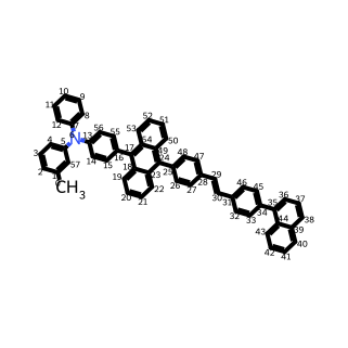 Cc1cccc(N(c2ccccc2)c2ccc(-c3c4ccccc4c(-c4ccc(/C=C/c5ccc(-c6cccc7ccccc67)cc5)cc4)c4ccccc34)cc2)c1